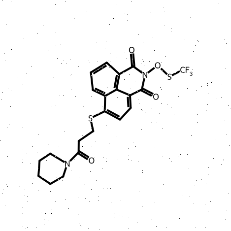 O=C(CCSc1ccc2c3c(cccc13)C(=O)N(OSC(F)(F)F)C2=O)N1CCCCC1